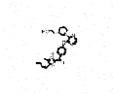 C=C/C=C\c1nc(C(=O)c2ccc(Oc3nccnc3N3CCC[C@@H](CCO)C3)cc2)[nH]c1C